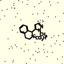 Cn1nccc1C1c2ccccc2CCN1C(=O)O